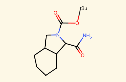 CC(C)(C)OC(=O)N1CC2CCCCC2C1C(N)=O